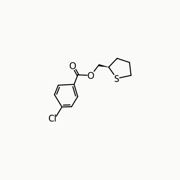 O=C(OC[C@H]1CCCS1)c1ccc(Cl)cc1